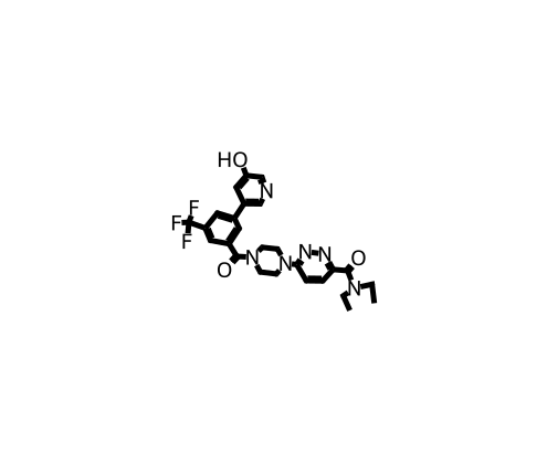 CCN(CC)C(=O)c1ccc(N2CCN(C(=O)c3cc(-c4cncc(O)c4)cc(C(F)(F)F)c3)CC2)nn1